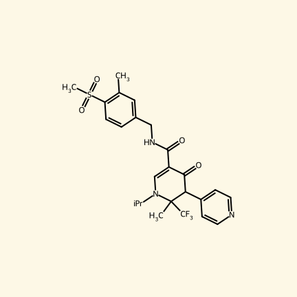 Cc1cc(CNC(=O)C2=CN(C(C)C)C(C)(C(F)(F)F)C(c3ccncc3)C2=O)ccc1S(C)(=O)=O